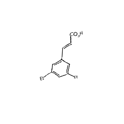 CCc1cc(/C=C/C(=O)O)cc(CC)c1